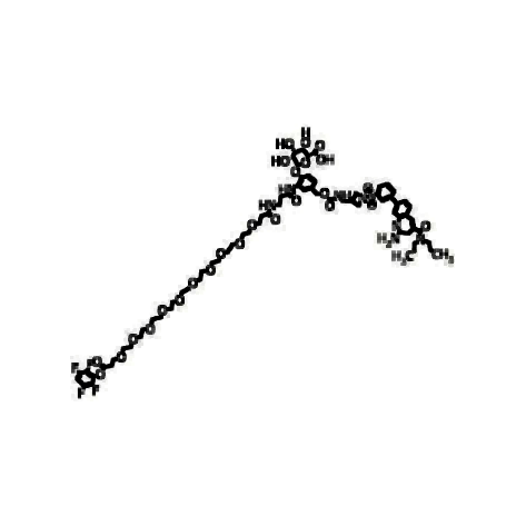 CCCN(CCC)C(=O)C1=Cc2ccc(-c3cccc(S(=O)(=O)N4CC(CNC(=O)OCc5ccc(O[C@@H]6O[C@H](C(=O)O)[C@@H](O)[C@H](O)[C@H]6O)c(NC(=O)CCNC(=O)CCOCCOCCOCCOCCOCCOCCOCCOCCOCCOCCC(=O)Oc6c(F)c(F)cc(F)c6F)c5)C4)c3)cc2N=C(N)C1